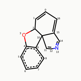 C1=CC2Oc3ccccc3C23C=CN=CC3=C1